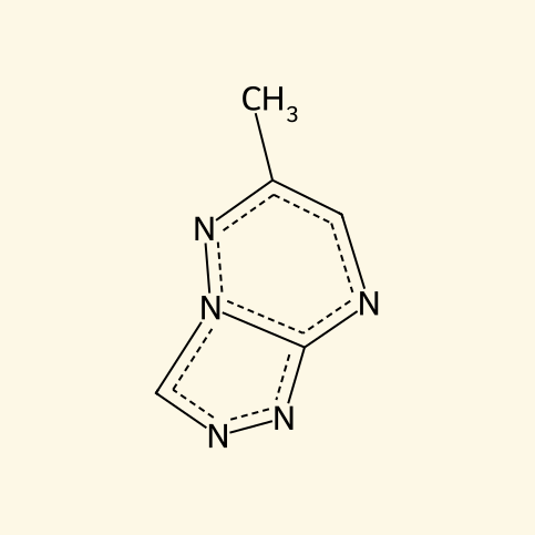 Cc1cnc2nncn2n1